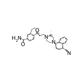 C[C@@H]1CN(c2ccc(C#N)c3ccccc23)CCN1CC[C@@H]1OCCc2cc(C(N)=O)ccc21